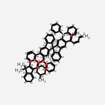 C=C/C=C\C(=C/C)c1cc2c(cc1N(c1ccccc1)c1ccccc1)C1(c3ccccc3-c3cc(-c4c#cccc4C4C(C)CC5CC(C)CC4C5)c(N(C4=CC5=C(CC4)C(C)(C)C4=CCCC=C45)c4ccccc4)cc31)c1ccccc1-2